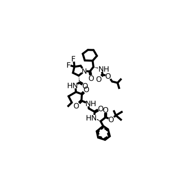 CCCC(NC(=O)[C@@H]1CC(F)(F)CN1C(=O)[C@@H](NC(=O)OCC(C)C)C1CCCCC1)C(=O)C(=O)NCC(=O)N[C@H](C(=O)OC(C)(C)C)c1ccccc1